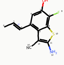 C/C=C/c1cc(O)c(F)c2sc(N)c(C#N)c12